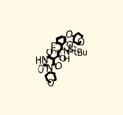 CC(C)(C)[S@@+]([O-])N[C@@H](c1cc(OC2CCOCC2)ccc1F)[C@@H](F)C(=O)C1C(=O)NC(=O)N(C2CCOCC2)C1=O